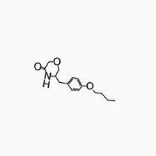 CCCCOc1ccc(CC2COCC(=O)N2)cc1